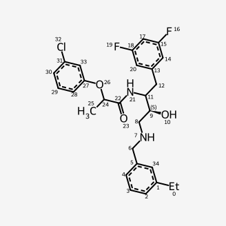 CCc1cccc(CNC[C@H](O)C(Cc2cc(F)cc(F)c2)NC(=O)C(C)Oc2cccc(Cl)c2)c1